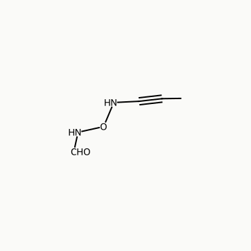 CC#CNONC=O